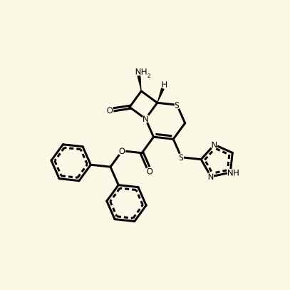 N[C@@H]1C(=O)N2C(C(=O)OC(c3ccccc3)c3ccccc3)=C(Sc3nc[nH]n3)CS[C@@H]12